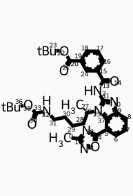 Cc1noc(-c2cccc3nc(NC(=O)c4cccc(C(=O)OC(C)(C)C)c4)n([C@@H](C)CCCCNC(=O)OC(C)(C)C)c23)n1